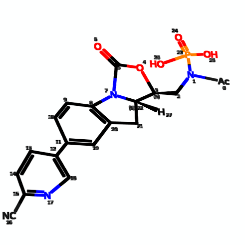 CC(=O)N(C[C@@H]1OC(=O)N2c3ccc(-c4ccc(C#N)nc4)cc3C[C@@H]12)P(=O)(O)O